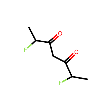 CC(F)C(=O)CC(=O)C(C)F